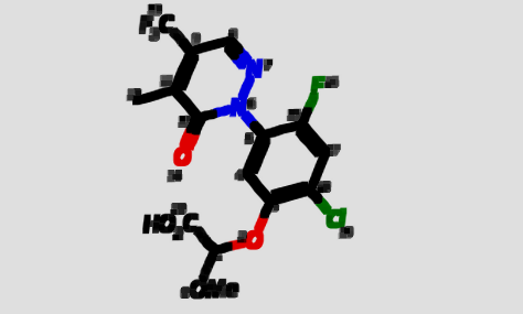 COC(Oc1cc(-n2ncc(C(F)(F)F)c(C)c2=O)c(F)cc1Cl)C(=O)O